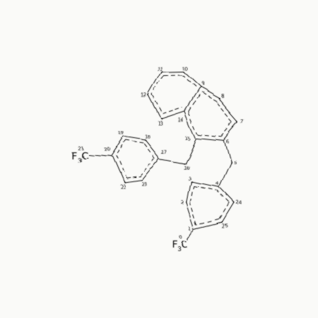 FC(F)(F)c1ccc(Cc2ccc3ccccc3c2Cc2ccc(C(F)(F)F)cc2)cc1